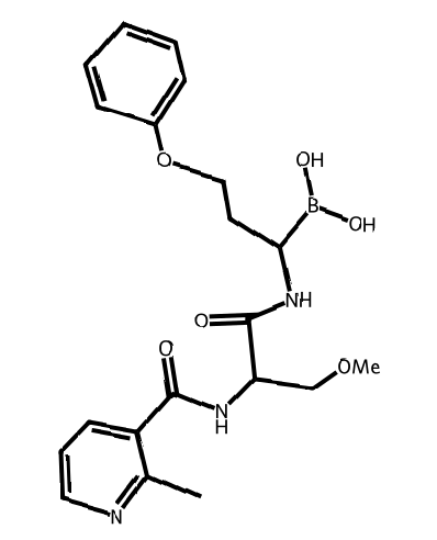 COCC(NC(=O)c1cccnc1C)C(=O)NC(CCOc1ccccc1)B(O)O